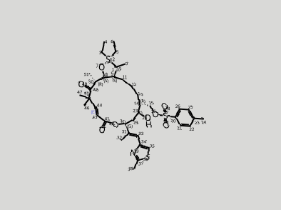 CC[Si](CC)(CC)O[C@H]1[C@@H](C)CCC[C@H](COS(=O)(=O)c2ccc(C)cc2)[C@@H](O)C[C@@H](C(C)=Cc2csc(C)n2)OC(=O)/C=C/C(C)(C)C(=O)[C@@H]1C